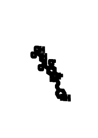 COc1cc2c(cc1C(=O)NCCC(=O)O)nc(CCC1CCNCC1)n2C